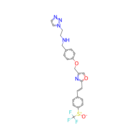 [O-][S+](c1ccc(/C=C/c2nc(COc3ccc(CNCCn4ccnn4)cc3)co2)cc1)C(F)(F)F